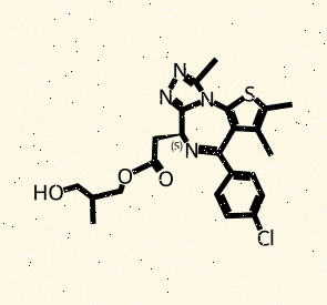 Cc1sc2c(c1C)C(c1ccc(Cl)cc1)=N[C@@H](CC(=O)OCC(C)CO)c1nnc(C)n1-2